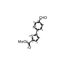 COC(=O)c1ccc(-c2ccc(C=O)cn2)s1